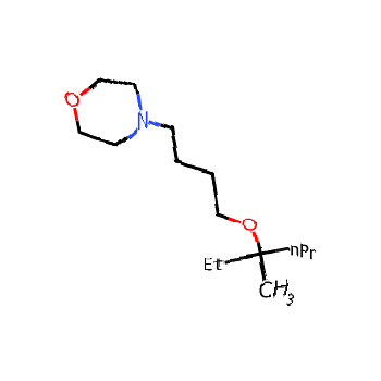 CCCC(C)(CC)OCCCCN1CCOCC1